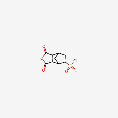 O=C1OC(=O)C2C3CC(CC3S(=O)(=O)Cl)C12